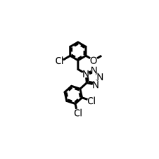 COc1cccc(Cl)c1Cn1nnnc1-c1cccc(Cl)c1Cl